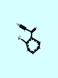 C=C(C#N)c1ccccc1Br